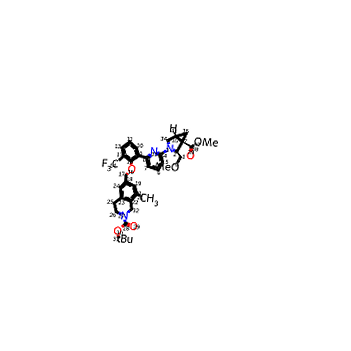 COC[C@H]1N(c2cccc(-c3cccc(C(F)(F)F)c3OCc3cc(C)c4c(c3)CCN(C(=O)OC(C)(C)C)C4)n2)C[C@@H]2C[C@@]21C(=O)OC